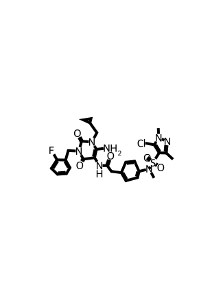 Cc1nn(C)c(Cl)c1S(=O)(=O)N(C)c1ccc(CC(=O)Nc2c(N)n(CC3CC3)c(=O)n(Cc3ccccc3F)c2=O)cc1